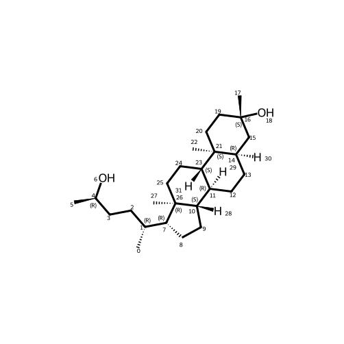 C[C@H](CC[C@@H](C)O)[C@H]1CC[C@H]2[C@@H]3CC[C@@H]4C[C@@](C)(O)CC[C@]4(C)[C@H]3CC[C@]12C